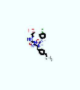 CCc1ccc(C[C@H](NC(=O)Nc2ccc(Cl)cc2)c2noc(NCCCO)n2)cc1